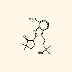 COc1cccc2c(CO[Si](C)(C)C(C)(C)C)n(C3CCC(C)(C)C3=O)nc12